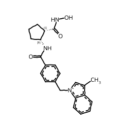 Cc1cn(Cc2ccc(C(=O)N[C@@H]3CCC[C@@H]3C(=O)NO)cc2)c2ccccc12